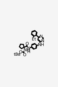 CCc1ccccc1-c1cc(Nc2ccc(NC(=O)C3(NC(=O)OC(C)(C)C)CCCC3)cc2)ncn1